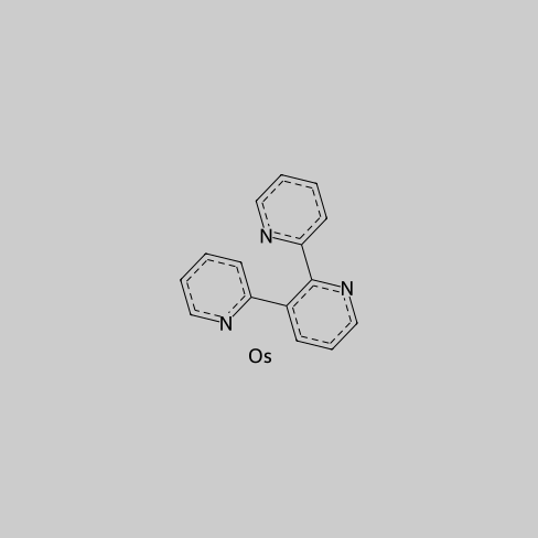 [Os].c1ccc(-c2cccnc2-c2ccccn2)nc1